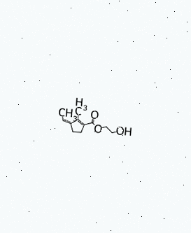 CC=C1CCC(C(=O)OCCO)=C1C